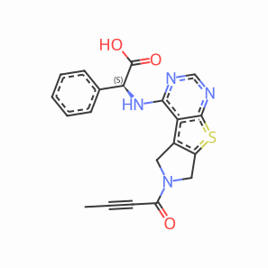 CC#CC(=O)N1Cc2sc3ncnc(N[C@H](C(=O)O)c4ccccc4)c3c2C1